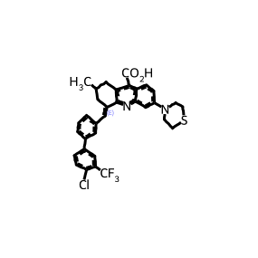 CC1C/C(=C\c2cccc(-c3ccc(Cl)c(C(F)(F)F)c3)c2)c2nc3cc(N4CCSCC4)ccc3c(C(=O)O)c2C1